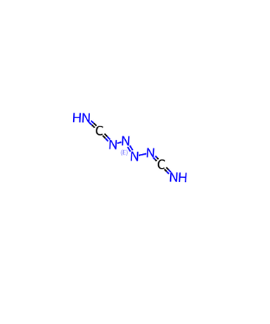 N=C=N/N=N/N=C=N